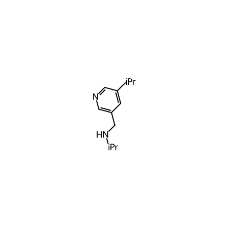 CC(C)NCc1cncc(C(C)C)c1